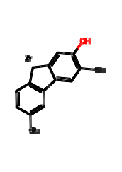 CC(C)(C)c1ccc2c(c1)-c1cc(C(C)(C)C)c(O)cc1C2.[Zr]